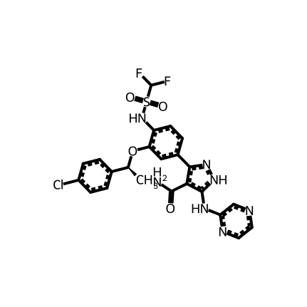 C[C@H](Oc1cc(-c2n[nH]c(Nc3cnccn3)c2C(N)=O)ccc1NS(=O)(=O)C(F)F)c1ccc(Cl)cc1